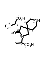 CC(C(=O)O)N1CC2(CCNCC2)CC1=O.O=C(O)CC(F)(F)F